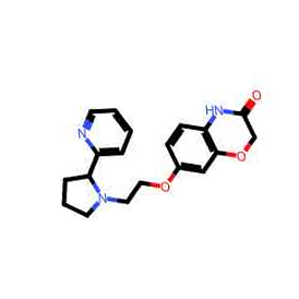 O=C1COc2cc(OCCN3CCCC3c3ccccn3)ccc2N1